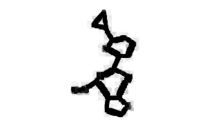 COc1nc(-c2cccc(C3CC3)n2)nc2sccc12